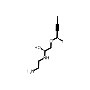 NCCN[C@@H](O)CO[C@H](I)C#CI